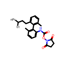 CCCC(CC)CCc1cccc(C)c1-c1c(C)cccc1NC(=O)ON1C(=O)CCC1=O